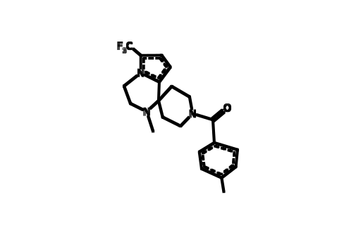 Cc1ccc(C(=O)N2CCC3(CC2)c2ccc(C(F)(F)F)n2CCN3C)cc1